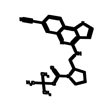 CC(C)(C)OC(=O)N1CCCC1CNc1nc2cc(C#N)ccc2c2sccc12